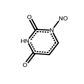 O=Nn1ccc(=O)[nH]c1=O